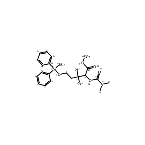 [2H]C([2H])(CCO[Si](c1ccccc1)(c1ccccc1)C(C)(C)C)C(OC(=O)N(C)C)C(=O)OC(C)(C)C